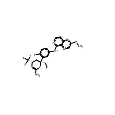 COc1cnc2c(Nc3ccc(F)c([C@]4(CF)C[C@@H](C(F)(F)F)N=C(N)O4)c3)nccc2n1